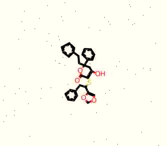 O=C1OC(CCc2ccccc2)(c2ccccc2)CC(O)=C1SC(Cc1ccccc1)C1=COCO1